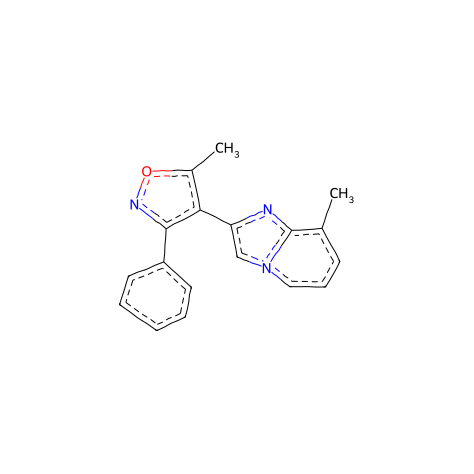 Cc1onc(-c2ccccc2)c1-c1cn2cccc(C)c2n1